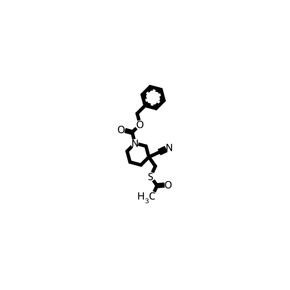 CC(=O)SCC1(C#N)CCCN(C(=O)OCc2ccccc2)C1